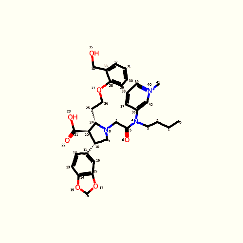 CCCCN(C(=O)CN1C[C@H](c2ccc3c(c2)OCO3)[C@@H](C(=O)O)[C@@H]1CCOc1ccccc1CO)c1ccc[n+](C)c1